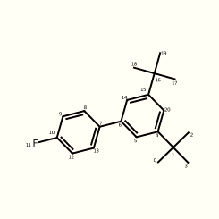 CC(C)(C)c1cc(-c2ccc(F)cc2)cc(C(C)(C)C)c1